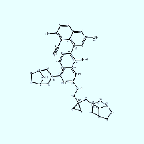 C#Cc1c(F)ccc2cc(O)cc(-c3ccc4c(N5CC6CCC(C5)N6)nc(OCC5(CN6CC7CCC(C6)C7=O)CC5)nc4c3F)c12